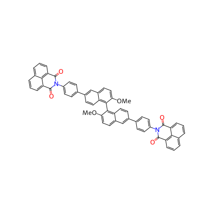 COc1ccc2cc(-c3ccc(N4C(=O)c5cccc6cccc(c56)C4=O)cc3)ccc2c1-c1c(OC)ccc2cc(-c3ccc(N4C(=O)c5cccc6cccc(c56)C4=O)cc3)ccc12